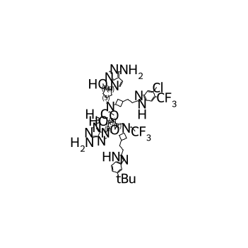 CC(O[C@H]1[C@@H](O)[C@H](n2cnc3c(N)ncnc32)O[C@@H]1CN(CC(F)(F)F)C1CC(CCc2nc3cc(C(C)(C)C)ccc3[nH]2)C1)N(C[C@@H]1C[C@@H](O)[C@H](n2ccc3c(N)ncnc32)C1)C1CC(CCc2nc3cc(Cl)c(C(F)(F)F)cc3[nH]2)C1